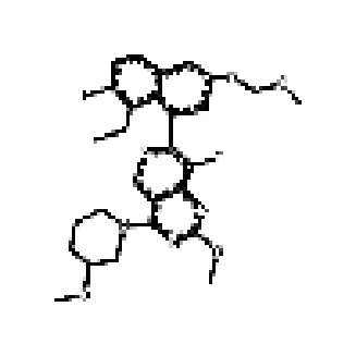 CCc1c(F)ccc2cc(OCOC)cc(-c3ncc4c(N5CCCC(OC)C5)nc(OC)nc4c3F)c12